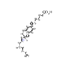 CC(C)CCCC(C)C/C=C/C1(C)CCc2cc(OCCCCCC(=O)O)ccc2O1